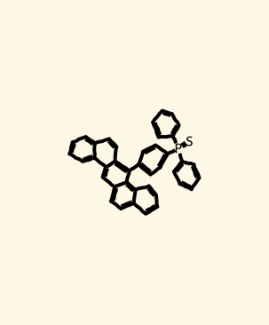 S=P(c1ccccc1)(c1ccccc1)c1ccc(-c2c3ccc4ccccc4c3cc3ccc4ccccc4c23)cc1